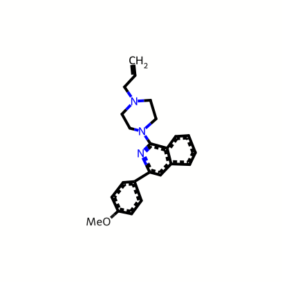 C=CCN1CCN(c2nc(-c3ccc(OC)cc3)cc3ccccc23)CC1